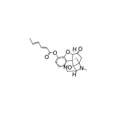 C/C=C/C=C/C(=O)Oc1ccc2c3c1O[C@H]1C(=O)CC45C[C@]31[C@]4(O)[C@@H](C2)N5C